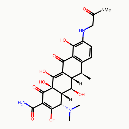 CNC(=O)CNc1ccc2c(c1O)C(=O)C1=C(O)[C@@]3(O)C(=O)C(C(N)=O)=C(O)[C@@H](N(C)C)[C@H]3[C@H](O)[C@H]1[C@@H]2C